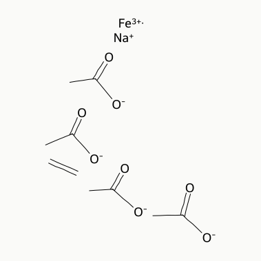 C=C.CC(=O)[O-].CC(=O)[O-].CC(=O)[O-].CC(=O)[O-].[Fe+3].[Na+]